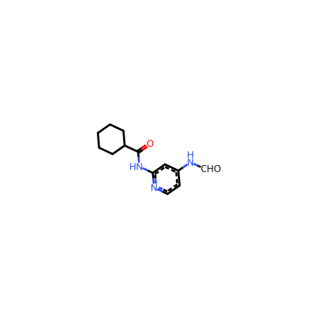 O=CNc1ccnc(NC(=O)C2CCCCC2)c1